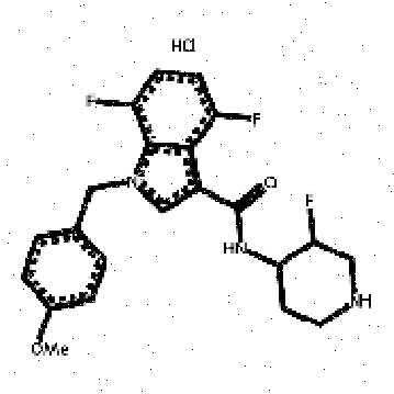 COc1ccc(Cn2cc(C(=O)NC3CCNCC3F)c3c(F)ccc(F)c32)cc1.Cl